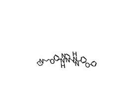 c1ccc(Oc2cccc(-c3ncc(-c4ccnc(Nc5cccc(OCCCN6CCCC6)c5)n4)[nH]3)c2)cc1